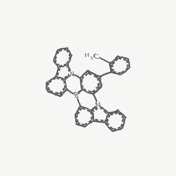 Cc1ccccc1-c1cc2c3c(c1)-n1c4ccccc4c4cccc(c41)B3c1cccc3c4ccccc4n-2c13